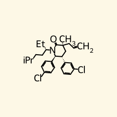 C=CC[C@@]1(C)C[C@H](c2cccc(Cl)c2)[C@@H](c2ccc(Cl)cc2)N([C@@H](CC)CCC(C)C)C1=O